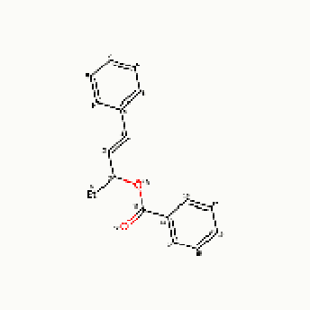 CCC(/C=C/c1ccccc1)OC(=O)c1ccccc1